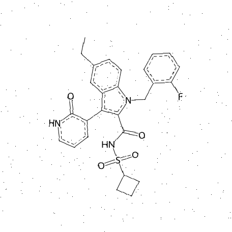 CCc1ccc2c(c1)c(-c1ccc[nH]c1=O)c(C(=O)NS(=O)(=O)C1CCC1)n2Cc1ccccc1F